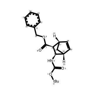 CC(C)(C)OC(=O)N[C@H]1[C@@H](C(=O)OCc2ccccc2)[C@@H]2C=C[C@H]1C2